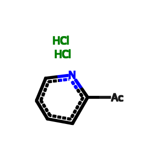 CC(=O)c1ccccn1.Cl.Cl